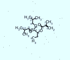 C=C(C)C(=O)OC(CC)[SiH](OCC(C)C)OCC(C)C